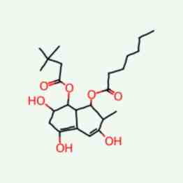 CCCCCCC(=O)OC1C(C)C(O)=CC2=C(O)CC(O)C(OC(=O)CC(C)(C)C)C21